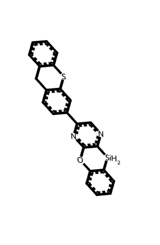 c1ccc2c(c1)Cc1ccc(-c3cnc4c(n3)Oc3ccccc3[SiH2]4)cc1S2